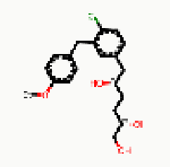 CCOc1ccc(Cc2cc(C[C@H](O)CC[C@H](O)CO)ccc2Cl)cc1